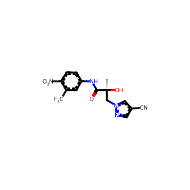 C[C@](O)(Cn1cc(C#N)cn1)C(=O)Nc1ccc([N+](=O)[O-])c(C(F)(F)F)c1